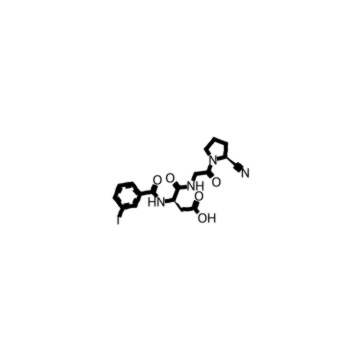 N#C[C@@H]1CCCN1C(=O)CNC(=O)[C@@H](CC(=O)O)NC(=O)c1cccc(I)c1